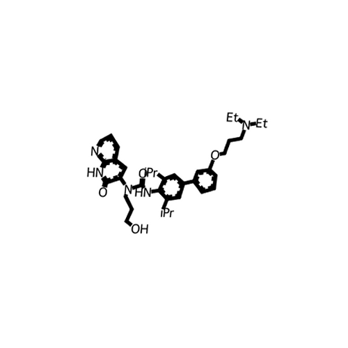 CCN(CC)CCCOc1cccc(-c2cc(C(C)C)c(NC(=O)N(CCCO)c3cc4cccnc4[nH]c3=O)c(C(C)C)c2)c1